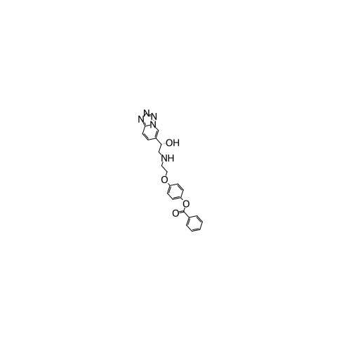 O=C(Oc1ccc(OCCNC[C@@H](O)c2ccc3nnnn3c2)cc1)c1ccccc1